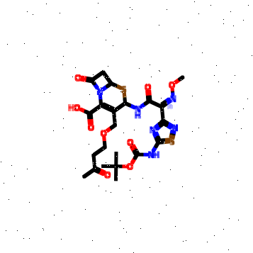 CO/N=C(\C(=O)NC1SC2CC(=O)N2C(C(=O)O)=C1COCCC(C)=O)c1nsc(NC(=O)OC(C)(C)C)n1